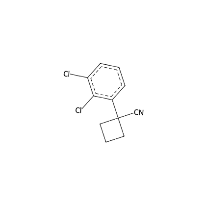 N#CC1(c2cccc(Cl)c2Cl)CCC1